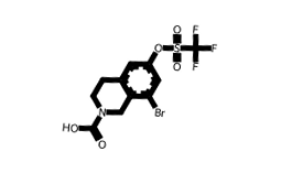 O=C(O)N1CCc2cc(OS(=O)(=O)C(F)(F)F)cc(Br)c2C1